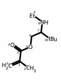 C=C(C)C(=O)OCC(NCC)C(C)(C)C